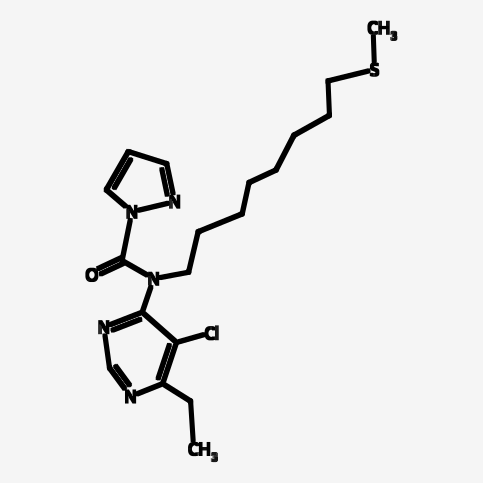 CCc1ncnc(N(CCCCCCCCSC)C(=O)n2cccn2)c1Cl